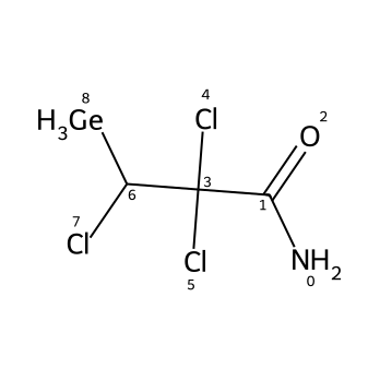 NC(=O)C(Cl)(Cl)[CH](Cl)[GeH3]